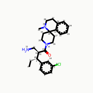 CC[C@@H](c1cccc(Cl)c1)[C@@H](CN)C(=O)N1CCC2(CC1)c1ccccc1CCN2C